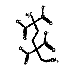 CCC([CH]CC(C)([N+](=O)[O-])[N+](=O)[O-])([N+](=O)[O-])[N+](=O)[O-]